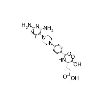 Cc1nc(N)nc(N)c1N1CCN(c2ccc(C(=O)N[C@@H](CCC(=O)O)C(=O)O)cc2)CC1